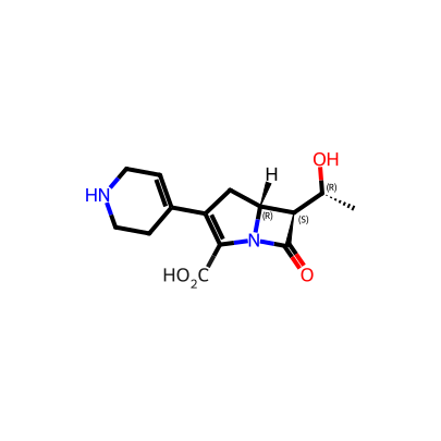 C[C@@H](O)[C@H]1C(=O)N2C(C(=O)O)=C(C3=CCNCC3)C[C@H]12